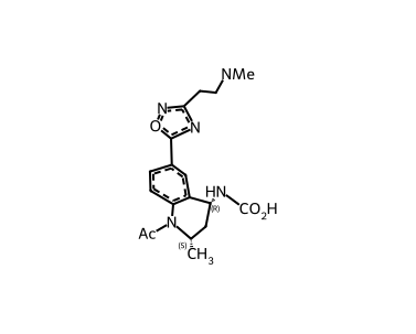 CNCCc1noc(-c2ccc3c(c2)[C@H](NC(=O)O)C[C@H](C)N3C(C)=O)n1